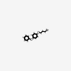 BrCCCOc1ccc(Oc2ccccc2)cc1